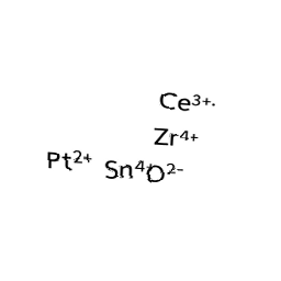 [Ce+3].[O-2].[Pt+2].[Sn+4].[Zr+4]